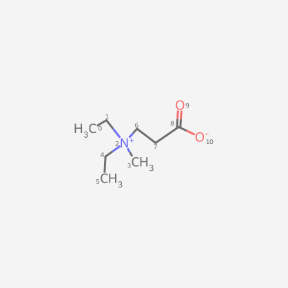 CC[N+](C)(CC)CCC(=O)[O-]